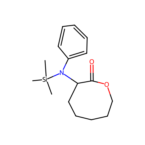 C[Si](C)(C)N(c1ccccc1)C1CCCCCOC1=O